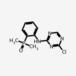 CP(C)(=O)c1ccccc1Nc1ncnc(Cl)n1